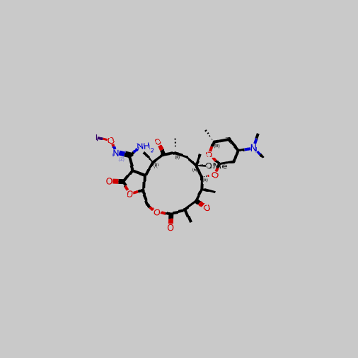 CO[C@]1(C)C[C@@H](C)C(=O)[C@H](C)C2C(COC(=O)C(C)C(=O)C(C)[C@H]1OC1CC(N(C)C)C[C@@H](C)O1)OC(=O)C2/C(N)=N/OI